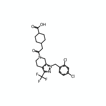 O=C(O)C1CCC(CC(=O)N2CCc3c(C(F)(F)F)nn(Cc4ccc(Cl)cc4Cl)c3C2)CC1